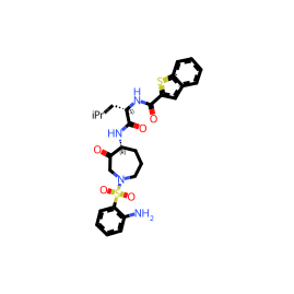 CC(C)C[C@H](NC(=O)c1cc2ccccc2s1)C(=O)N[C@@H]1CCCN(S(=O)(=O)c2ccccc2N)CC1=O